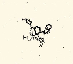 NS(=O)(=O)c1c(SC2CNC2)ccc(-c2cnc3ccccn23)c1-c1nn[nH]n1